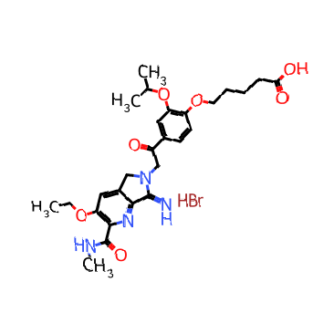 Br.CCOc1cc2c(nc1C(=O)NC)C(=N)N(CC(=O)c1ccc(OCCCCC(=O)O)c(OC(C)C)c1)C2